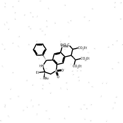 CCCC[C@]1(CC)CS(=O)(=O)c2cc(C(C(C(=O)OCC)C(=O)OCC)C(C(=O)OCC)C(=O)OCC)c(OC)cc2[C@@H](c2ccccc2)N1